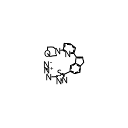 [N-]=[N+]=Nc1nnc(-c2ccc3c(c2)C(c2cccc(N4CCOCC4)n2)=CC3)s1